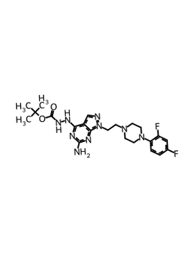 CC(C)(C)OC(=O)NNc1nc(N)nc2c1cnn2CCN1CCN(c2ccc(F)cc2F)CC1